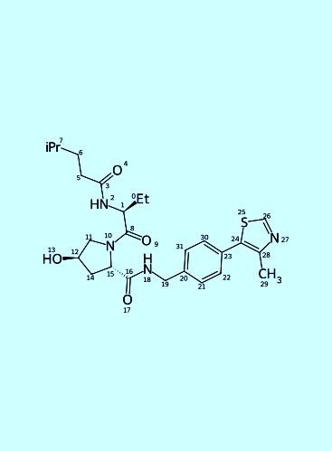 CC[C@H](NC(=O)CCC(C)C)C(=O)N1C[C@H](O)C[C@H]1C(=O)NCc1ccc(-c2scnc2C)cc1